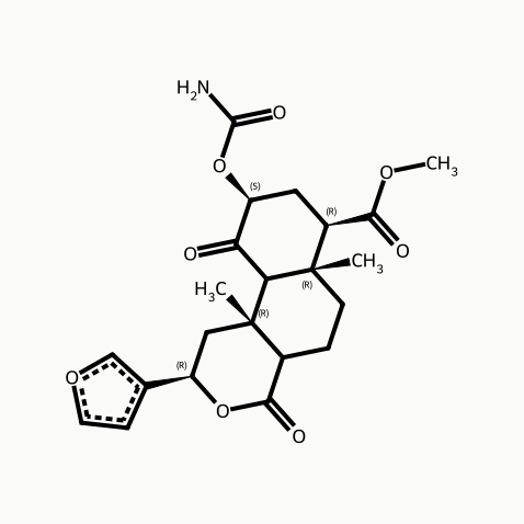 COC(=O)[C@@H]1C[C@H](OC(N)=O)C(=O)C2[C@@]3(C)C[C@H](c4ccoc4)OC(=O)C3CC[C@]21C